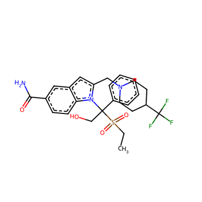 CCS(=O)(=O)C(CO)(c1ccccc1)n1c(CN2CCC(C(F)(F)F)CC2)cc2cc(C(N)=O)ccc21